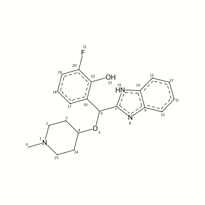 CN1CCC(OC(c2nc3ccccc3[nH]2)c2cccc(F)c2O)CC1